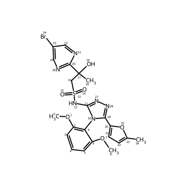 COc1cccc(OC)c1-n1c(NS(=O)(=O)CC(C)(O)c2ncc(Br)cn2)nnc1-c1ccc(C)o1